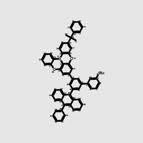 CC(C)(C)c1cccc(-c2cc(-c3cc4c5c(c3)Oc3cc(C(C)(C)c6ccccc6)ccc3B5c3ccccc3O4)cc(-c3c4ccccc4c(-c4ccccc4)c4ccccc34)c2)c1